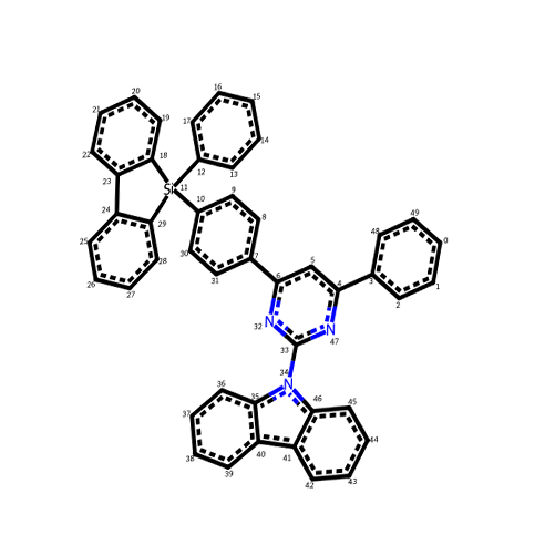 c1ccc(-c2cc(-c3ccc([Si]4(c5ccccc5)c5ccccc5-c5ccccc54)cc3)nc(-n3c4ccccc4c4ccccc43)n2)cc1